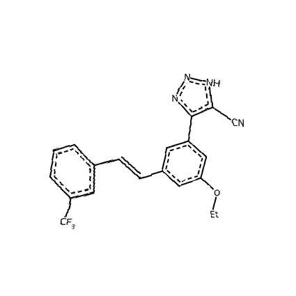 CCOc1cc(C=Cc2cccc(C(F)(F)F)c2)cc(-c2nn[nH]c2C#N)c1